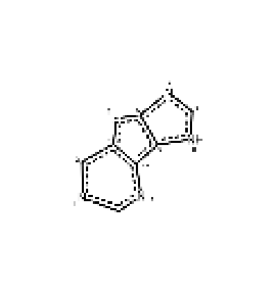 [c]1ncc2sc3nc[nH]c3c2n1